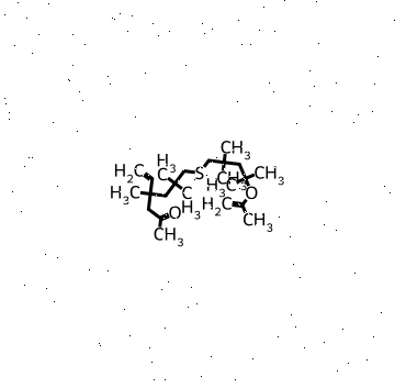 C=CC(C)(CC(C)=O)CC(C)(C)CSCC(C)(C)CC(C)(C)OC(=C)C